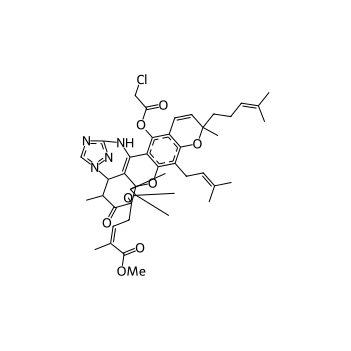 COC(=O)/C(C)=C\CC12OC(C)(C)C(C)C13Oc1c(CC=C(C)C)c4c(c(OC(=O)CCl)c1C1=C3C(C(C)C2=O)n2cnc(n2)N1)C=CC(C)(CCC=C(C)C)O4